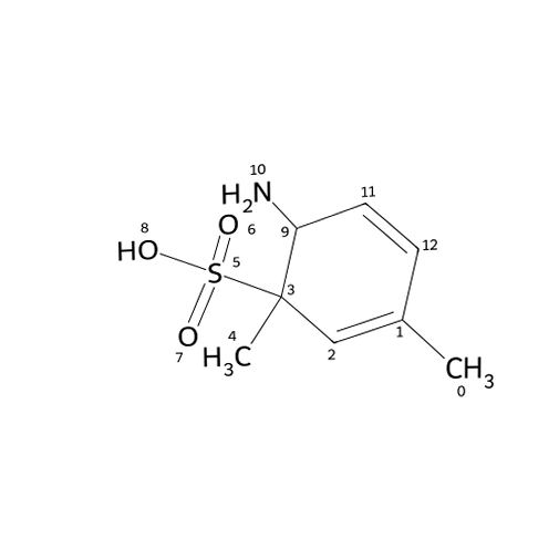 CC1=CC(C)(S(=O)(=O)O)C(N)C=C1